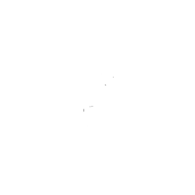 CO[C@H]1Cc2cc(O)ccc2[C@@H]2[C@@H]1[C@@H]1C[C@H](O)C[C@@]1(C)C[C@@H]2F